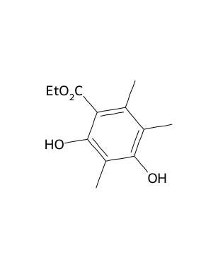 CCOC(=O)c1c(C)c(C)c(O)c(C)c1O